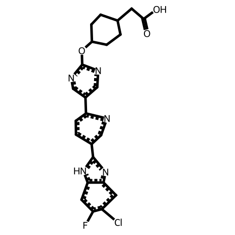 O=C(O)CC1CCC(Oc2ncc(-c3ccc(-c4nc5cc(Cl)c(F)cc5[nH]4)cn3)cn2)CC1